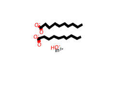 CCCCCCCCCC(=O)[O-].CCCCCCCCCC(=O)[O-].[In+3].[OH-]